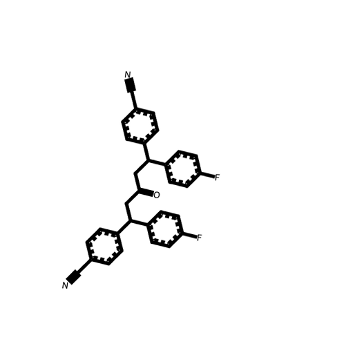 N#Cc1ccc(C(CC(=O)CC(c2ccc(F)cc2)c2ccc(C#N)cc2)c2ccc(F)cc2)cc1